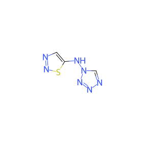 c1nnsc1Nn1cnnn1